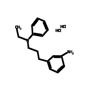 CCN(CCCc1cccc(N)c1)c1ccccc1.Cl.Cl